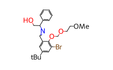 COCCOCOc1c(Br)cc(C(C)(C)C)cc1/C=N/C(CO)c1ccccc1